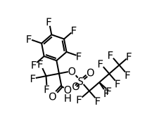 O=C(O)C(OS(=O)(=O)C(F)(F)C(F)(F)C(F)(F)C(F)(F)F)(c1c(F)c(F)c(F)c(F)c1F)C(F)(F)F